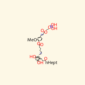 CCCCCCCC(=O)CC[C@@H]1[C@@H](C/C=C\CCCC(=O)Oc2ccc(/C=C/C(=O)OCCON(O)O)cc2OC)[C@@H](O)C[C@H]1O